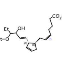 CCOC(CC)C(O)C=C[C@H]1C=CC[C@@H]1C/C=C\CCCC(=O)O